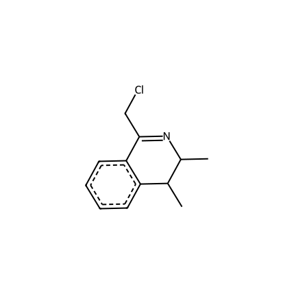 CC1N=C(CCl)c2ccccc2C1C